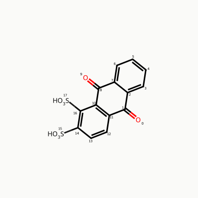 O=C1c2ccccc2C(=O)c2c1ccc(S(=O)(=O)O)c2S(=O)(=O)O